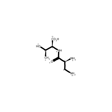 C[C@@H](O)[C@H](NC(=O)[C@@H](N)CN)C(=O)O